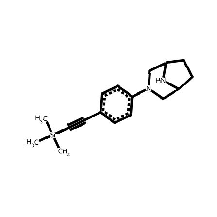 C[Si](C)(C)C#Cc1ccc(N2CC3CCC(C2)N3)cc1